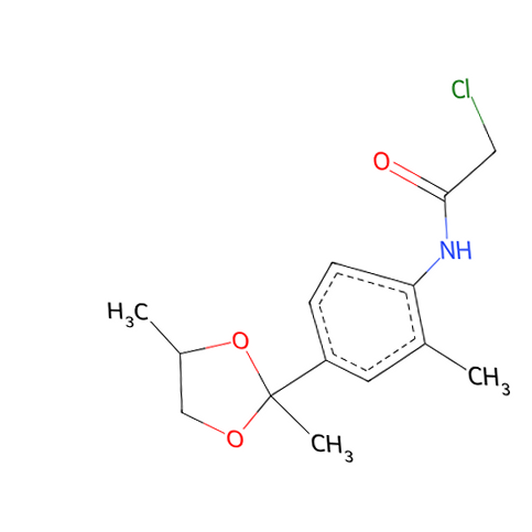 Cc1cc(C2(C)OCC(C)O2)ccc1NC(=O)CCl